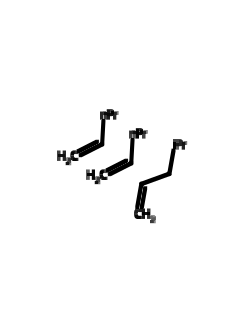 C=CCC(C)C.C=CCCC.C=CCCC